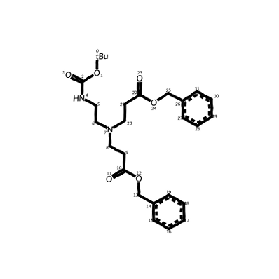 CC(C)(C)OC(=O)NCCN(CCC(=O)OCc1ccccc1)CCC(=O)OCc1ccccc1